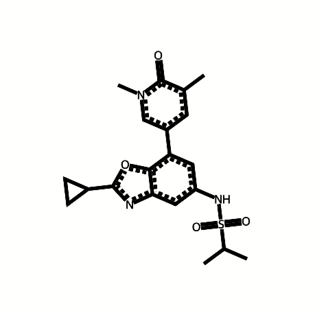 Cc1cc(-c2cc(NS(=O)(=O)C(C)C)cc3nc(C4CC4)oc23)cn(C)c1=O